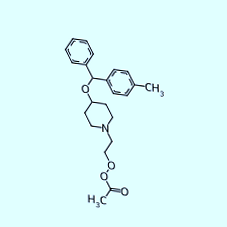 CC(=O)OOCCN1CCC(OC(c2ccccc2)c2ccc(C)cc2)CC1